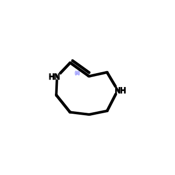 C1=C/NCCCCNC/1